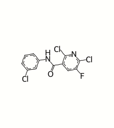 O=C(Nc1cccc(Cl)c1)c1cc(F)c(Cl)nc1Cl